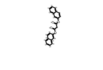 O=C(CC(=O)Oc1ccc2ccccc2c1)Oc1ccc2ccccc2c1